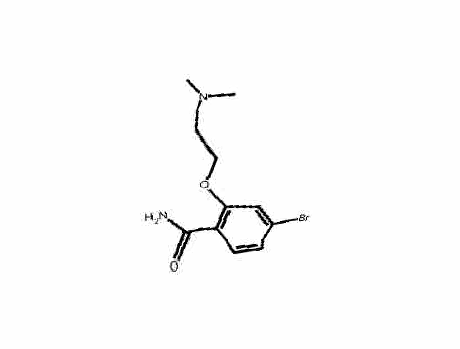 CN(C)CCOc1cc(Br)ccc1C(N)=O